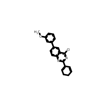 COc1cccc(-c2ccc3nc(C4=CCCC=C4)nc(Cl)c3c2)c1